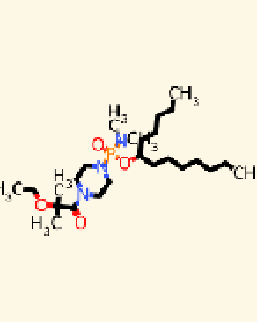 CCCCCCCC(CCCCC)OP(=O)(N(C)C)N1CCN(C(=O)C(C)(C)OCC)CC1